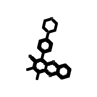 Cc1c2nc3ccccc3oc-2c(-c2ccc(N3CCOCC3)cc2)c(=O)c1C